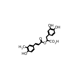 Cc1cc(/C=C/C(=O)OC(Cc2ccc(O)c(O)c2)C(=O)O)ccc1O